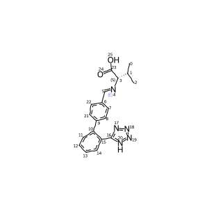 CC(C)[C@H](/N=C/c1ccc(-c2ccccc2-c2nnn[nH]2)cc1)C(=O)O